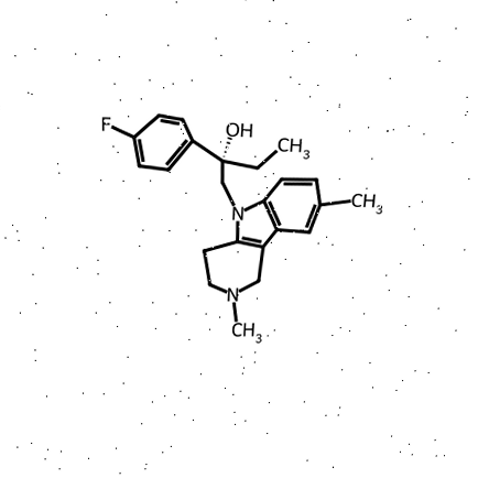 CC[C@@](O)(Cn1c2c(c3cc(C)ccc31)CN(C)CC2)c1ccc(F)cc1